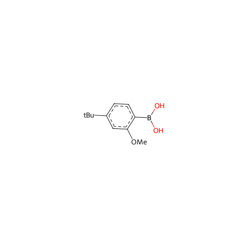 COc1cc(C(C)(C)C)ccc1B(O)O